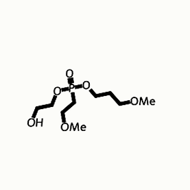 COCCCOP(=O)(CCOC)OCCO